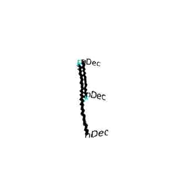 CCCCCCCCCCCCCCCCCCCCCCCCC[C](CCCCCCCCCCCCCCCF)C(F)C(CCCCCCCCCC)CCCCCCCCCCCCCCCCCCCCCCCCC